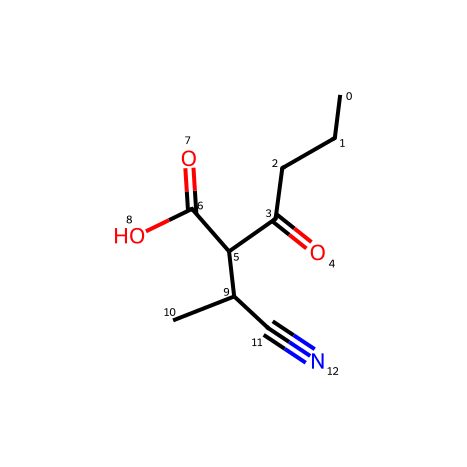 CCCC(=O)C(C(=O)O)C(C)C#N